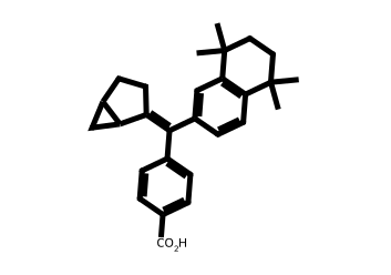 CC1(C)CCC(C)(C)c2cc(C(=C3CCC4CC34)c3ccc(C(=O)O)cc3)ccc21